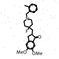 COc1cc2c(cc1OC)C(=O)C(CC1(F)CCN(Cc3ccccc3C)CC1)C2